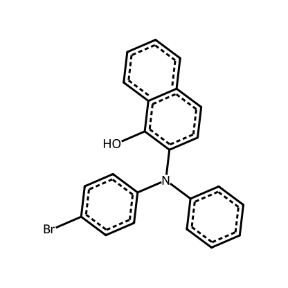 Oc1c(N(c2ccccc2)c2ccc(Br)cc2)ccc2ccccc12